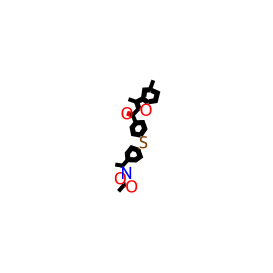 CC(=O)ON=C(C)c1ccc(Sc2ccc(C(=O)c3oc4ccc(C)cc4c3C)cc2)cc1